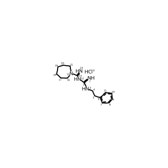 Cl.N=C(NCCc1ccccc1)NC(=N)N1CCCCCC1